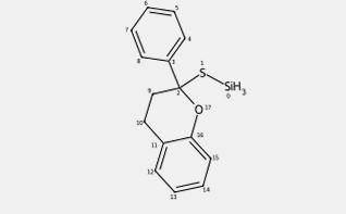 [SiH3]SC1(c2ccccc2)CCc2ccccc2O1